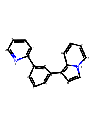 c1ccc(-c2cccc(-c3ccn4ccccc34)c2)nc1